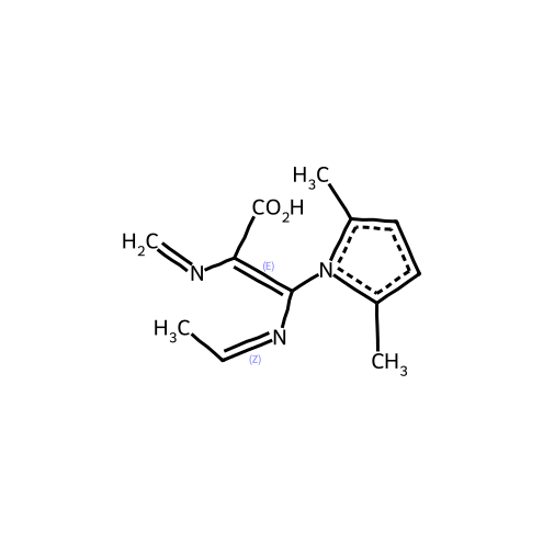 C=N/C(C(=O)O)=C(\N=C/C)n1c(C)ccc1C